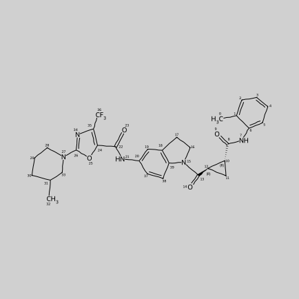 Cc1ccccc1NC(=O)[C@@H]1C[C@H]1C(=O)N1CCc2cc(NC(=O)c3oc(N4CCCC(C)C4)nc3C(F)(F)F)ccc21